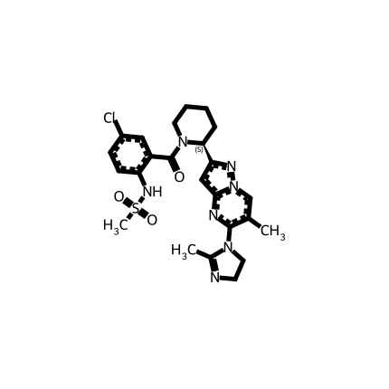 CC1=NCCN1c1nc2cc([C@@H]3CCCCN3C(=O)c3cc(Cl)ccc3NS(C)(=O)=O)nn2cc1C